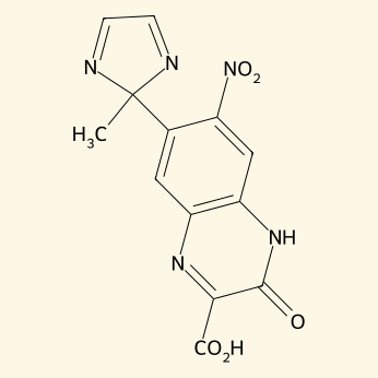 CC1(c2cc3nc(C(=O)O)c(=O)[nH]c3cc2[N+](=O)[O-])N=CC=N1